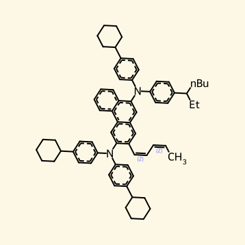 C/C=C\C=C/c1cc2cc(N(c3ccc(C(CC)CCCC)cc3)c3ccc(C4CCCCC4)cc3)c3ccccc3c2cc1N(c1ccc(C2CCCCC2)cc1)c1ccc(C2CCCCC2)cc1